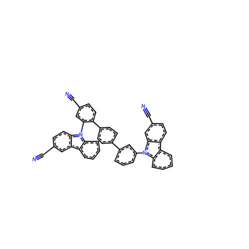 N#Cc1ccc(-c2ccc(-c3cccc(-n4c5ccccc5c5ccc(C#N)cc54)c3)cc2)c(-n2c3ccccc3c3cc(C#N)ccc32)c1